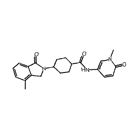 Cc1cccc2c1CN(C1CCC(C(=O)Nc3ccc(=O)n(C)c3)CC1)C2=O